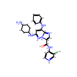 NC1CCC(Nc2cc(Nc3ccccc3)c3ncc(C(=O)Nc4ccncc4F)n3n2)CC1